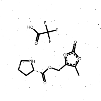 Cc1oc(=O)oc1COC(=O)[C@@H]1CCCN1.O=C(O)C(F)(F)F